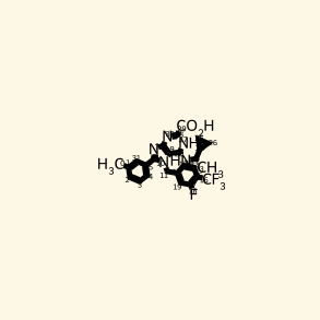 Cc1cccc(-c2nc3c(n2Cc2ccc(C(F)(F)F)c(F)c2)C(N[C@H](C)C2CC2)NC(C(=O)O)=N3)c1